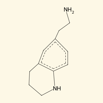 NCCc1ccc2c(c1)CCCN2